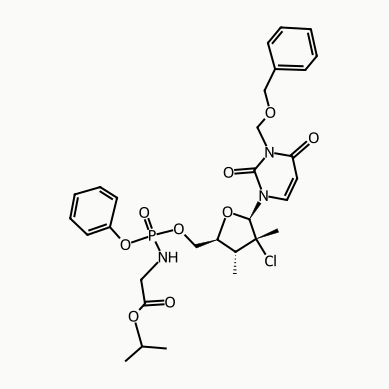 CC(C)OC(=O)CNP(=O)(OC[C@H]1O[C@@H](n2ccc(=O)n(COCc3ccccc3)c2=O)[C@](C)(Cl)[C@@H]1C)Oc1ccccc1